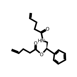 C=CCCC(=O)NC[C@H](OC(=O)CCC=C)c1ccccc1